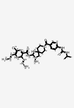 CC(C)NC(=O)Nc1ccc(C(=O)N2CCC3(CC2)CN(N)C(NC(=O)C2=NC(Cl)=C(N=NN)NC2N=NN)N3)cn1